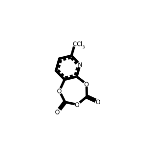 O=C1OC(=O)Oc2nc(C(Cl)(Cl)Cl)ccc2O1